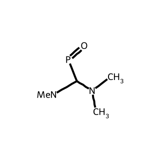 CNC(P=O)N(C)C